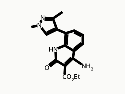 CCOC(=O)c1c(N)c2cccc(-c3cn(C)nc3C)c2[nH]c1=O